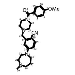 COc1ccc(C(=O)N2CCN(Cc3cc(N4CCCN(C)CC4)ccc3C#N)CC2)cc1